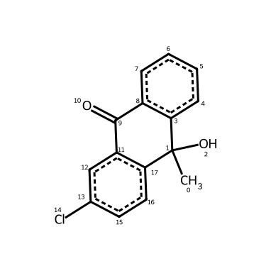 CC1(O)c2ccccc2C(=O)c2cc(Cl)ccc21